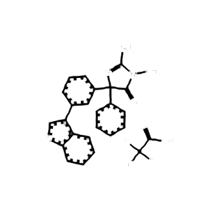 CN1C(=O)C(c2ccccc2)(c2cccc(-c3csc4ccccc34)c2)N=C1N.O=C(O)C(F)(F)F